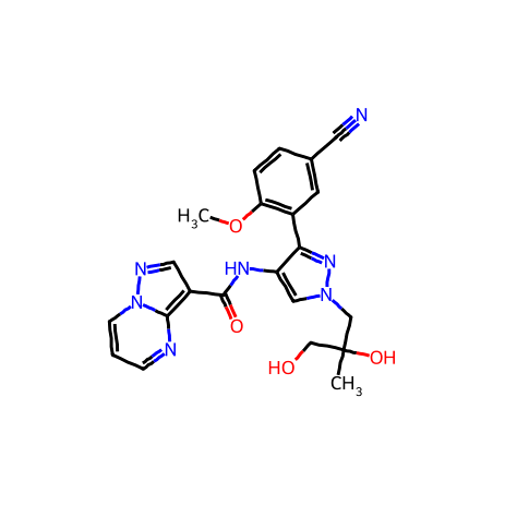 COc1ccc(C#N)cc1-c1nn(CC(C)(O)CO)cc1NC(=O)c1cnn2cccnc12